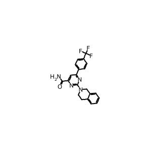 NC(=O)c1cc(-c2ccc(C(F)(F)F)cc2)nc(N2CCc3ccccc3C2)n1